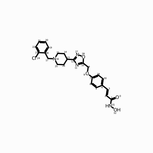 O=C(C=Cc1ccc(OCc2nc(C3CCN(Cc4ccccc4Cl)CC3)no2)cc1)NO